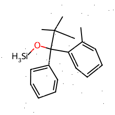 Cc1ccccc1C(O[SiH3])(c1ccccc1)C(C)(C)C